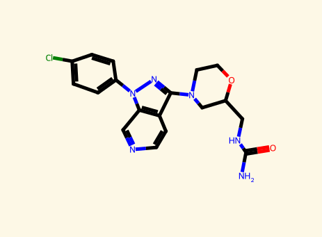 NC(=O)NCC1CN(c2nn(-c3ccc(Cl)cc3)c3cnccc23)CCO1